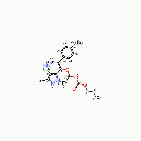 CCn1nc(C)c(Cl)c1/C(OC(C)OC(=O)OCCC(C)C)=C(\C=N)c1ccc(C(C)(C)C)cc1